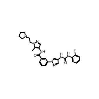 Cc1c(NC(=O)c2cccc(-n3cc(NC(=O)Nc4ccccc4F)cn3)c2)cnn1CCN1CCCC1